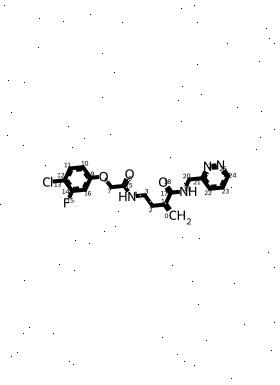 C=C(CCNC(=O)COc1ccc(Cl)c(F)c1)C(=O)NCc1cccnn1